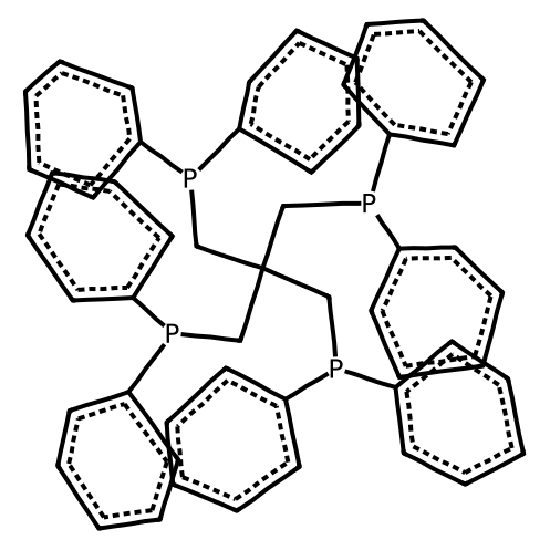 c1ccc(P(CC(CP(c2ccccc2)c2ccccc2)(CP(c2ccccc2)c2ccccc2)CP(c2ccccc2)c2ccccc2)c2ccccc2)cc1